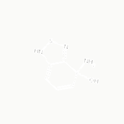 NC1(O)C=CC=C2NSN=C21